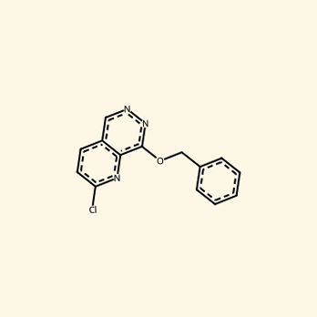 Clc1ccc2cnnc(OCc3ccccc3)c2n1